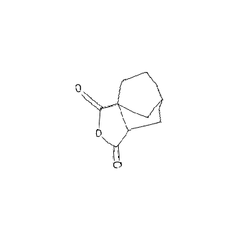 O=C1OC(=O)C23CCC(CC12)C3